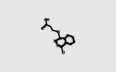 O=C(O)CCOc1nnc(Cl)c2ccccc12